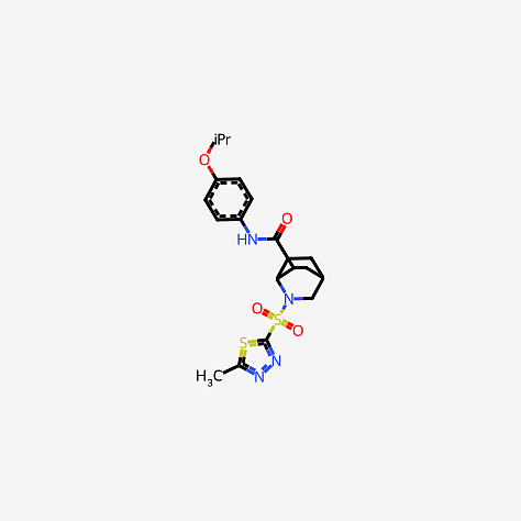 Cc1nnc(S(=O)(=O)N2CC3CCC2C(C(=O)Nc2ccc(OC(C)C)cc2)C3)s1